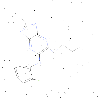 Fc1ccccc1Nc1nc2nc(C(F)(F)F)[nH]c2nc1NCCC(F)(F)F